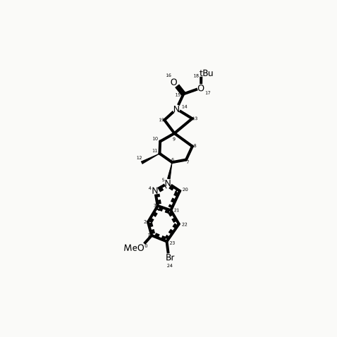 COc1cc2nn([C@@H]3CCC4(C[C@@H]3C)CN(C(=O)OC(C)(C)C)C4)cc2cc1Br